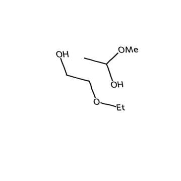 CCOCCO.COC(C)O